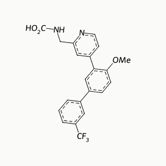 COc1ccc(-c2cccc(C(F)(F)F)c2)cc1-c1ccnc(CNC(=O)O)c1